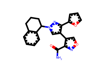 NC(=O)c1nocc1-c1cn(C2CCCc3ccccc32)nc1-c1ccco1